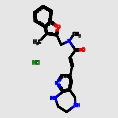 Cc1c(CN(C)C(=O)/C=C/c2cnc3c(c2)CNCCN3)oc2ccccc12.Cl